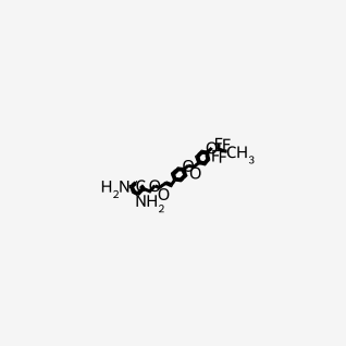 CC(F)(F)C(F)(F)Oc1ccc(C(=O)Oc2ccc(C=CC(=O)OCc3ccc(N)cc3N)cc2)cc1